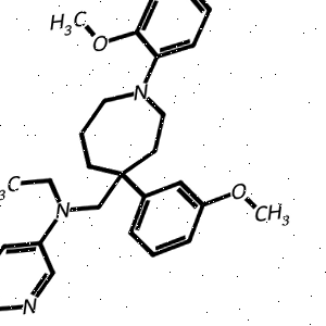 CCN(CC1(c2cccc(OC)c2)CCCN(c2ccccc2OC)CC1)c1cccnc1